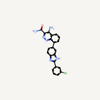 NC(=O)c1nnc2c(-c3ccc4nc(-c5cccc(Cl)c5)[nH]c4c3)cccc2c1N